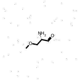 COC[C@H](N)[C]=O